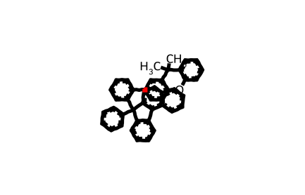 CC1(C)c2ccccc2Oc2ccc(-c3ccccc3C3(c4ccccc4)c4ccccc4-c4c3ccc3ccccc43)cc21